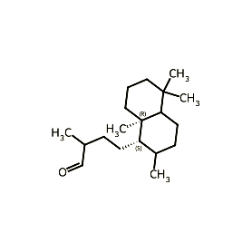 CC(C=O)CC[C@H]1C(C)CCC2C(C)(C)CCC[C@@]21C